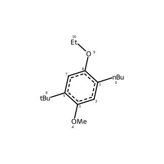 CCCCc1cc(OC)c(C(C)(C)C)cc1OCC